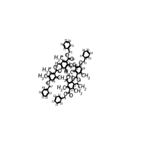 C=Cc1c(C)c(C(=O)OCc2ccccc2)c(C)c(C=C)c1OC(=O)c1c(C)cc(OCc2ccccc2)c(C)c1C.Cc1cc(OCc2ccccc2)c(C)c(C)c1C(=O)Oc1c(I)c(C)c(C(=O)OCc2ccccc2)c(C)c1I